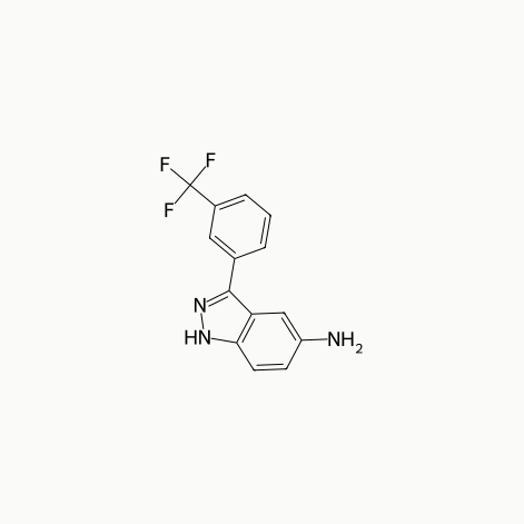 Nc1ccc2[nH]nc(-c3cccc(C(F)(F)F)c3)c2c1